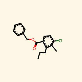 CCCc1c(C(=O)OCc2ccccc2)ccc(Cl)c1C